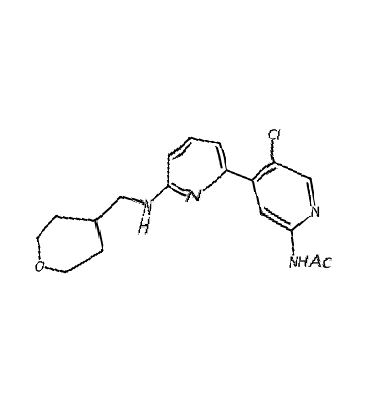 CC(=O)Nc1cc(-c2cccc(NCC3CCOCC3)n2)c(Cl)cn1